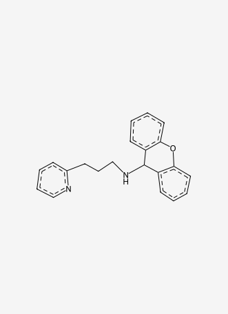 c1ccc(CCCNC2c3ccccc3Oc3ccccc32)nc1